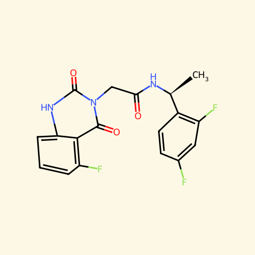 C[C@H](NC(=O)Cn1c(=O)[nH]c2cccc(F)c2c1=O)c1ccc(F)cc1F